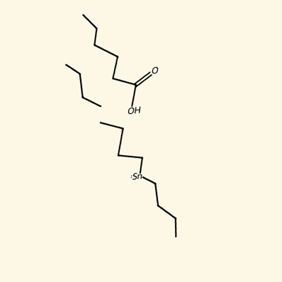 CCCC.CCCCCC(=O)O.CCC[CH2][Sn][CH2]CCC